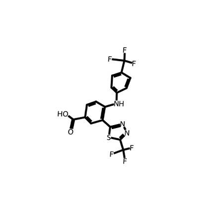 O=C(O)c1ccc(Nc2ccc(C(F)(F)F)cc2)c(-c2nnc(C(F)(F)F)s2)c1